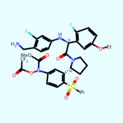 CCOc1ccc(F)c([C@H](Nc2ccc(CN)c(F)c2)C(=O)N2CCC[C@@H]2c2cc(N(OC(=O)C(F)(F)F)C(=O)OC)ccc2S(=O)(=O)C(C)C)c1